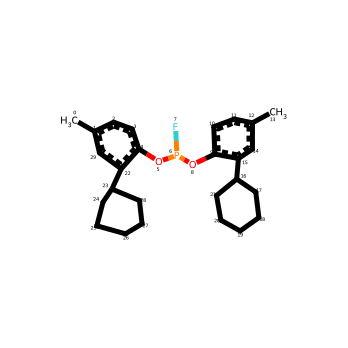 Cc1ccc(OP(F)Oc2ccc(C)cc2C2CCCCC2)c(C2CCCCC2)c1